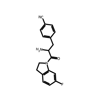 N#Cc1ccc(CC(N)C(=O)N2CCc3ccc(F)cc32)cc1